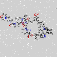 CCn1c(-c2cccnc2[C@H](C)OC)c2c3cc(ccc31)-c1cc(O)cc(c1)C[C@H](NC(=O)[C@H](C(C)C)N(C)C(=O)[C@H]1CCN(C(=O)/C=C/CN3CCOCC3)C1)C(=O)N1CCC[C@H](N1)C(=O)OCC(C)(C)C2